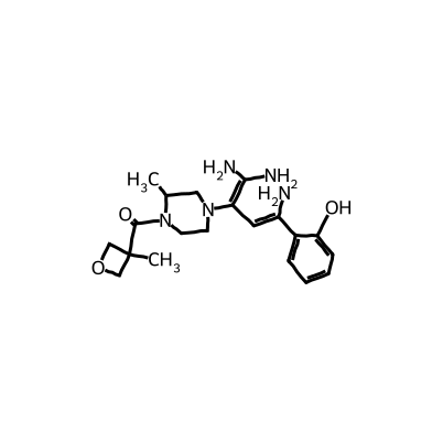 CC1CN(C(/C=C(\N)c2ccccc2O)=C(N)N)CCN1C(=O)C1(C)COC1